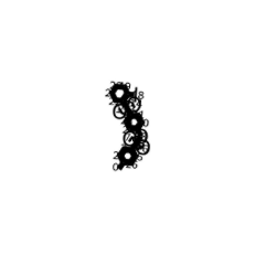 Cc1ccc(S(=O)(=O)Oc2ccc(S(=O)(=O)C3=C(I)CCCC3)cc2)cc1